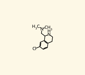 CN(C)CC1NCCc2ccc(Cl)cc21